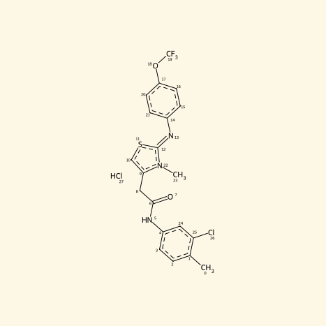 Cc1ccc(NC(=O)Cc2cs/c(=N\c3ccc(OC(F)(F)F)cc3)n2C)cc1Cl.Cl